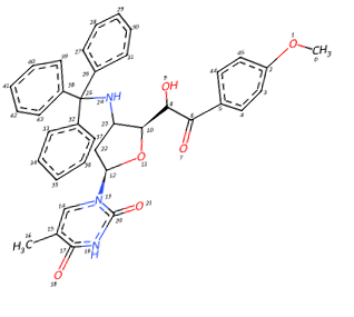 COc1ccc(C(=O)C(O)[C@H]2O[C@@H](n3cc(C)c(=O)[nH]c3=O)CC2NC(c2ccccc2)(c2ccccc2)c2ccccc2)cc1